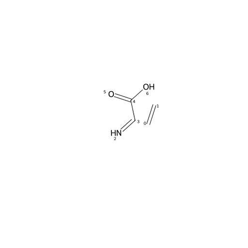 C=C.N=CC(=O)O